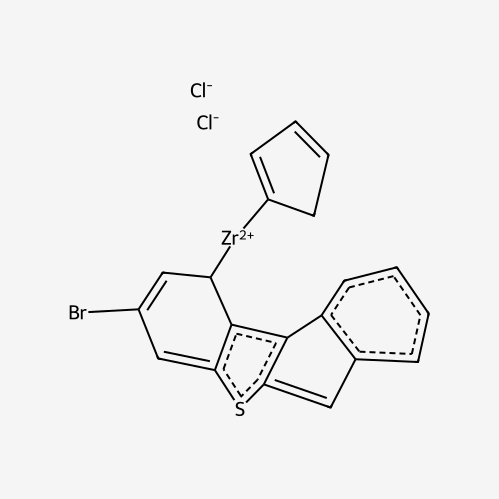 BrC1=C[CH]([Zr+2][C]2=CC=CC2)c2c3c(sc2=C1)=Cc1ccccc1-3.[Cl-].[Cl-]